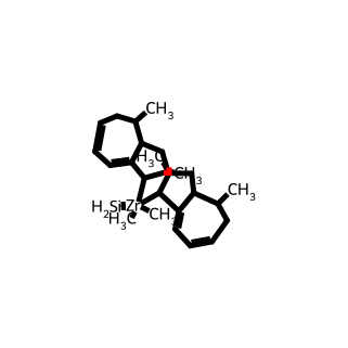 CC1CC=CC=C2C1CC(C)[CH]2[Zr]([CH3])([CH3])(=[SiH2])[CH]1C2=CC=CCC(C)C2CC1C